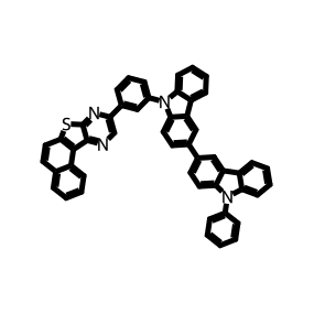 c1ccc(-n2c3ccccc3c3cc(-c4ccc5c(c4)c4ccccc4n5-c4cccc(-c5cnc6c(n5)sc5ccc7ccccc7c56)c4)ccc32)cc1